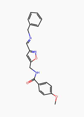 COc1ccc(C(=O)NCc2cc(C=NCc3ccccc3)no2)cc1